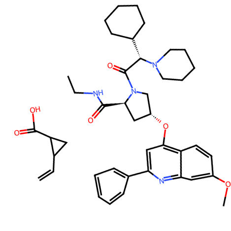 C=CC1CC1C(=O)O.CCNC(=O)[C@@H]1C[C@@H](Oc2cc(-c3ccccc3)nc3cc(OC)ccc23)CN1C(=O)[C@H](C1CCCCC1)N1CCCCC1